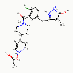 CCc1cc(Cc2ccc(F)c(C(=O)N3CCC(c4cc[n+](OC(=O)C(F)(F)F)cc4)CC3)c2)n[nH]c1=O